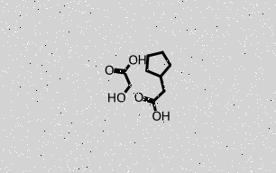 O=C(O)CC1CCCC1.O=C(O)CO